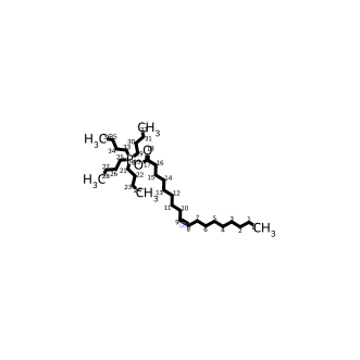 CCCCCCCC/C=C\CCCCCCCC(=O)OP(CCCC)(CCCC)(CCCC)CCCC